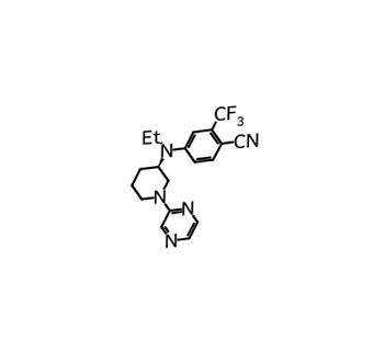 CCN(c1ccc(C#N)c(C(F)(F)F)c1)[C@@H]1CCCN(c2cnccn2)C1